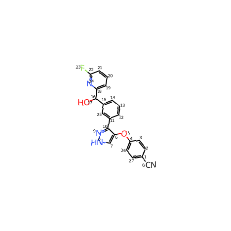 N#Cc1ccc(Oc2c[nH]nc2-c2cccc(C(O)c3cccc(F)n3)c2)cc1